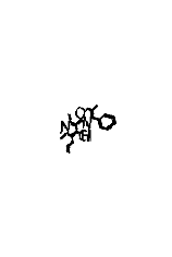 C=CCc1c(C)nc(C)c(C(=O)NC(=C(C)C)c2ccccc2)c1Cl